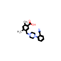 Cc1cc(C)c(C(=O)O)cc1CN1CCN(c2ccccc2C#N)CC1